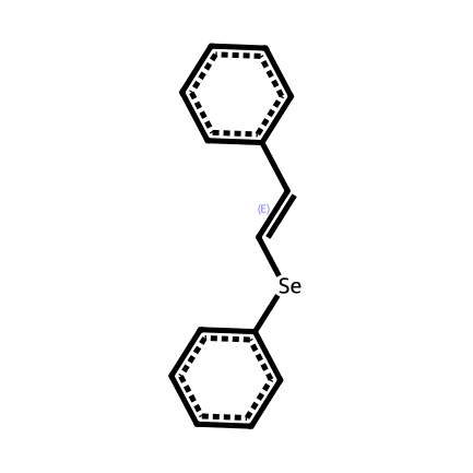 C(=C\c1ccccc1)/[Se]c1ccccc1